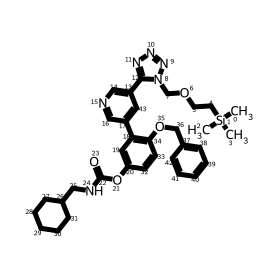 C[Si](C)(C)CCOCn1nnnc1-c1cncc(-c2cc(OC(=O)NCC3CCCCC3)ccc2OCc2ccccc2)c1